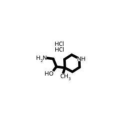 CC1(C(O)CN)CCNCC1.Cl.Cl